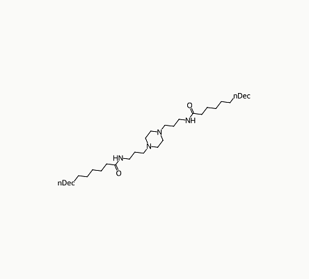 CCCCCCCCCCCCCCCC(=O)NCCCN1CCN(CCCNC(=O)CCCCCCCCCCCCCCC)CC1